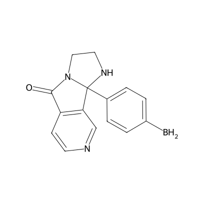 Bc1ccc(C23NCCN2C(=O)c2ccncc23)cc1